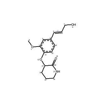 COc1cc(/C=C/CO)ccc1OC1CCCNC1=O